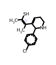 C/C(S)=C(\C)C1=CCCNC1c1ccc(Cl)cc1